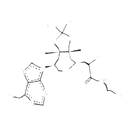 CCNC(=O)C(O)[C@H]1O[C@@H](n2cnc3c(N)ncnc32)[C@@H]2OC(C)(C)O[C@@H]21